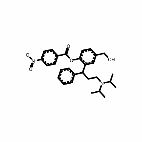 CC(C)N(CCC(c1ccccc1)c1cc(CO)ccc1OC(=O)c1ccc([N+](=O)[O-])cc1)C(C)C